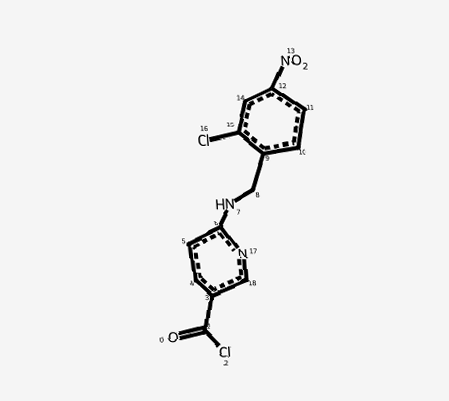 O=C(Cl)c1ccc(NCc2ccc([N+](=O)[O-])cc2Cl)nc1